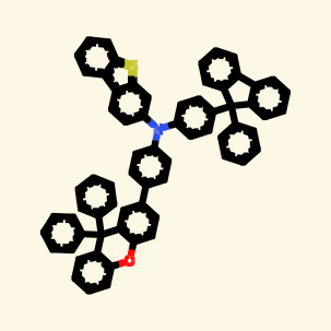 c1ccc(C2(c3ccccc3)c3ccccc3Oc3ccc(-c4ccc(N(c5ccc(C6(c7ccccc7)c7ccccc7-c7ccccc76)cc5)c5ccc6c(c5)sc5ccccc56)cc4)cc32)cc1